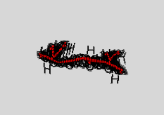 O=C(CCOCCOCCOCCOCCOCCC(=O)NCCCOCCOCCOCCCNC(=O)[C@H](CCCCNC(=O)OCc1ccccc1)NC(=O)[C@H](CCCCNC(=O)OCc1ccccc1)NC(=O)OCc1ccccc1)NCCCOCCOCCOCCCNC(=O)[C@H](CCCCNC(=O)OCc1ccccc1)NC(=O)[C@H](CCCCNC(=O)OCc1ccccc1)NC(=O)OCc1ccccc1